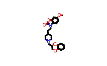 COc1ccc2c(c1)oc(=O)n2CCC1CCN(CC2COc3ccccc3O2)CC1